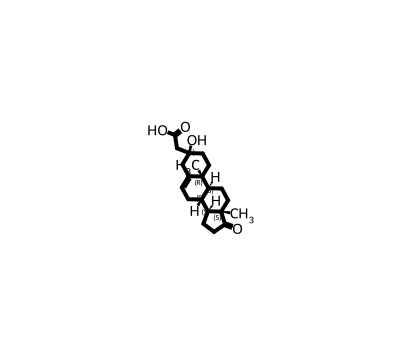 C[C@]12CC[C@@](O)(CC(=O)O)CC1=CC[C@@H]1[C@@H]2CC[C@]2(C)C(=O)CC[C@@H]12